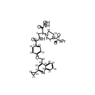 CC(C)S(=O)(=O)N1CCN([C@@H](CNC(=O)c2ccc(OCc3cc(C4CC4)nc4ccccc34)cc2)C(=O)NO)CC1